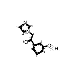 COc1cccc(C(=O)Cn2ccnc2)c1